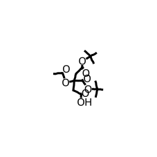 CC(=O)OC(CC(=O)O)(CC(=O)OC(C)(C)C)C(=O)OC(C)(C)C